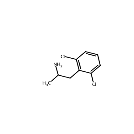 CC(N)Cc1c(Cl)cccc1Cl